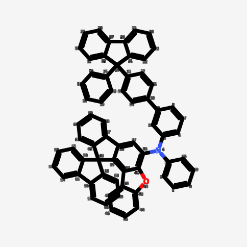 c1ccc(N(c2cccc(-c3ccc(C4(c5ccccc5)c5ccccc5-c5ccccc54)cc3)c2)c2cc3c(c4c2oc2ccccc24)C2(c4ccccc4-c4ccccc42)c2ccccc2-3)cc1